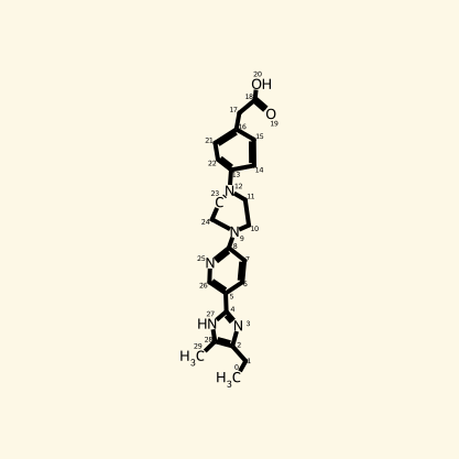 CCc1nc(-c2ccc(N3CCN(c4ccc(CC(=O)O)cc4)CC3)nc2)[nH]c1C